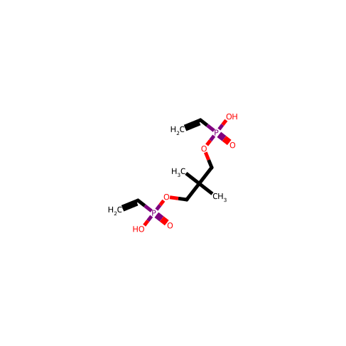 C=CP(=O)(O)OCC(C)(C)COP(=O)(O)C=C